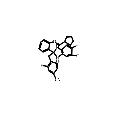 N#Cc1ccc(CC2(c3ccccc3OCC3CCCC3)Nc3cc(F)c(F)cc3N2)c(F)c1